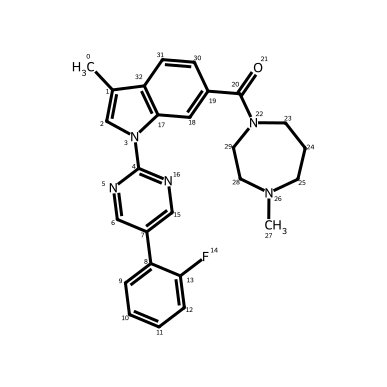 Cc1cn(-c2ncc(-c3ccccc3F)cn2)c2cc(C(=O)N3CCCN(C)CC3)ccc12